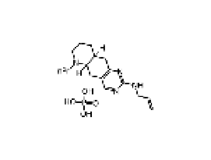 C=CCNc1ncc2c(n1)C[C@@H]1CCCN(CCC)[C@H]1C2.O=P(O)(O)O